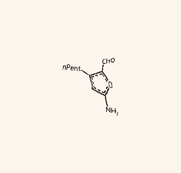 CCCCCc1cc(N)oc1C=O